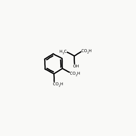 CC(O)C(=O)O.O=C(O)c1ccccc1C(=O)O